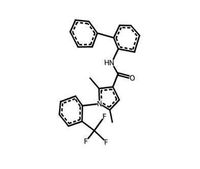 Cc1cc(C(=O)Nc2ccccc2-c2ccccc2)c(C)n1-c1ccccc1C(F)(F)F